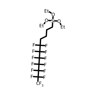 CCO[Si](CCCCC(F)(F)C(F)(F)C(F)(F)C(F)(F)C(F)(F)C(F)(F)C(F)(F)F)(OCC)OCC